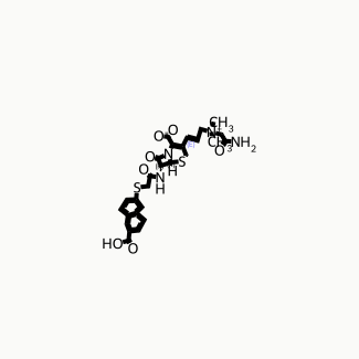 C[N+](C)(C/C=C/C1=C(C(=O)[O-])N2C(=O)[C@@H](NC(=O)CSc3ccc4cc(C(=O)O)ccc4c3)[C@H]2SC1)CC(N)=O